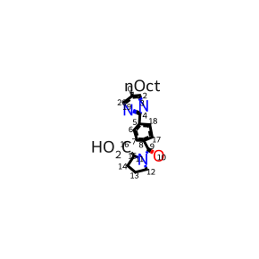 CCCCCCCCc1cnc(-c2ccc(C(=O)N3CCCC3C(=O)O)cc2)nc1